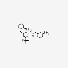 NC1CCCC(CC(=O)Nc2cc(C(F)(F)F)cc3c2Nc2ccccc2S3)C1